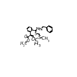 COC=C(C(=O)OC)c1ccccc1C(=NN=Cc1ccccc1)SCSC